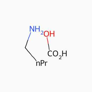 CCCCN.O=C(O)O